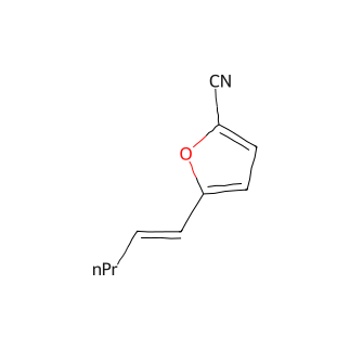 CCCC=Cc1ccc(C#N)o1